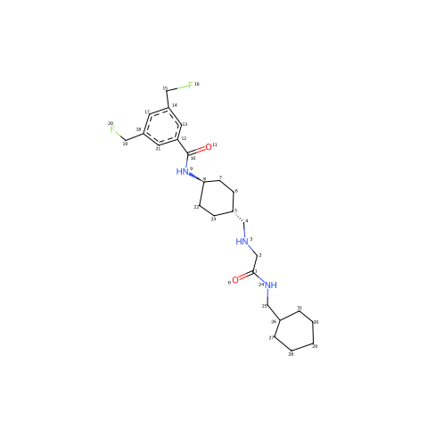 O=C(CNC[C@H]1CC[C@H](NC(=O)c2cc(CF)cc(CF)c2)CC1)NCC1CCCCC1